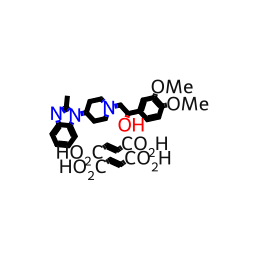 COc1ccc(C(O)CN2CCC(n3c(C)nc4ccccc43)CC2)cc1OC.O=C(O)C=CC(=O)O.O=C(O)C=CC(=O)O